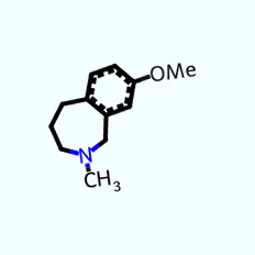 COc1ccc2c(c1)CN(C)CCC2